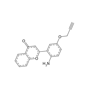 C#CCOc1ccc(N)c(-c2cc(=O)c3ccccc3o2)c1